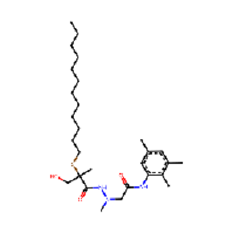 CCCCCCCCCCCCSC(C)(CO)C(=O)NN(C)CC(=O)Nc1cc(C)cc(C)c1C